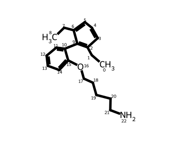 CCc1cccc(CC)c1-c1ccccc1OCCCCCN